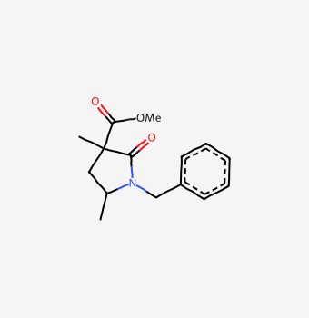 COC(=O)C1(C)CC(C)N(Cc2ccccc2)C1=O